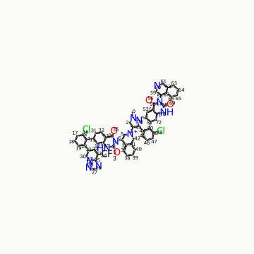 Cn1cc(-[n+]2cc(-n3c(=O)[nH]c4cc(-c5c(Cl)cccc5-c5cc(C(F)(F)F)c6ncnn6c5)ccc4c3=O)c3ccccc3c2)c(-c2cccc(Cl)c2-c2ccc3c(=O)n(-c4cncc5ccccc45)c(=O)[nH]c3c2)n1